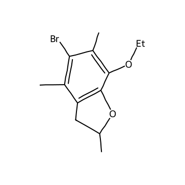 CCOc1c(C)c(Br)c(C)c2c1OC(C)C2